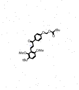 COc1ccc(C(C)(C)C)c(OC)c1/C=C/C(=O)c1ccc(OCOC(=O)C(C)(C)C)cc1